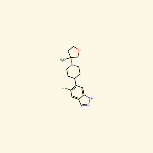 CC1(N2CCC(c3cc4[nH]ncc4cc3Cl)CC2)CCOC1